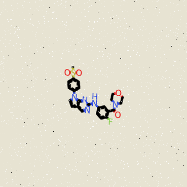 CS(=O)(=O)c1ccc(-n2ccc3cnc(Nc4ccc(F)c(C(=O)N5CCOCC5)c4)nc32)cc1